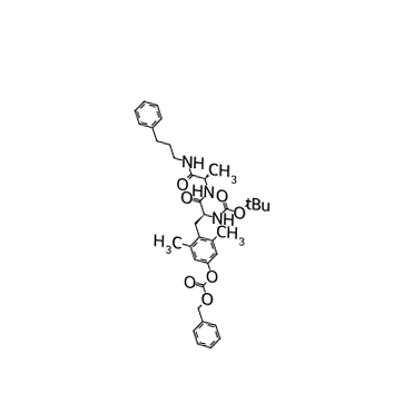 Cc1cc(OC(=O)OCc2ccccc2)cc(C)c1C[C@H](NC(=O)OC(C)(C)C)C(=O)N[C@H](C)C(=O)NCCCc1ccccc1